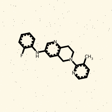 Cc1cccnc1N1CCc2ncc(Nc3ccccc3F)cc2C1